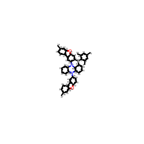 Cc1cc(C)c(B2c3cc4oc5cc(C)ccc5c4cc3N3c4ccccc4N(c4ccc5oc6cc(C)ccc6c5c4)c4cccc2c43)c(C)c1